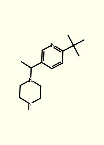 CC(c1ccc(C(C)(C)C)nc1)N1CCNCC1